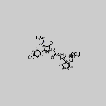 O=C(O)NCC(CNC(=O)Cn1nc(-c2ccc(Cl)cc2)n(/C=C/C(F)(F)F)c1=O)c1ccccc1Cl